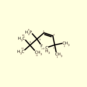 CC(C)(C)/C=C\C(F)(P)C(C)(C)C